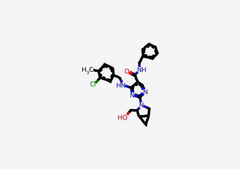 Cc1ccc(CNc2nc(N3CC4CC4C3CO)ncc2C(=O)NCc2ccccc2)cc1Cl